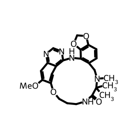 COc1cc2ncnc3c2cc1OCCCNC(=O)C(C)(C)N(C)Cc1ccc2c(c1N3)OCO2